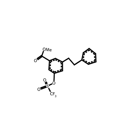 COC(=O)c1cc(CCc2ccccc2)cc(OS(=O)(=O)C(F)(F)F)c1